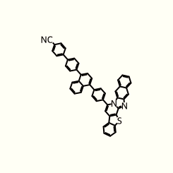 N#Cc1ccc(-c2ccc(-c3ccc(-c4ccc(-c5cc6c7ccccc7sc6c6nc7cc8ccccc8cc7n56)cc4)c4ccccc34)cc2)cc1